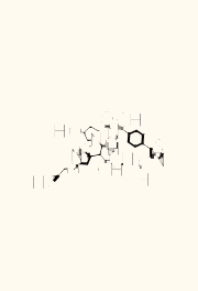 C#CCOc1cc(C(C(=O)N2C[C@H](O)C[C@H]2C(=O)NC(C)c2ccc(-c3scnc3C)cc2)C(C)C)on1